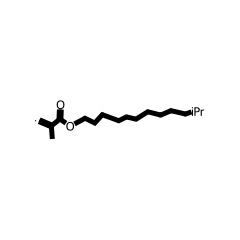 [CH]=C(C)C(=O)OCCCCCCCCCCC(C)C